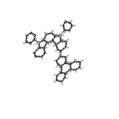 c1ccc(-n2c3ccccc3c3c4c5cc(-c6ccc7c8ccccc8c8ccccc8c7c6)ccc5n(-c5ccccc5)c4ccc32)cc1